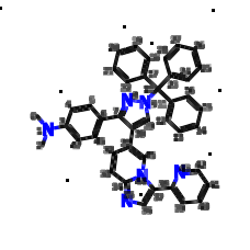 CN(C)c1ccc(-c2nn(C(c3ccccc3)(c3ccccc3)c3ccccc3)cc2-c2ccc3ncc(-c4ccccn4)n3c2)cc1